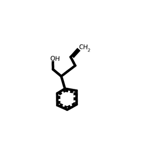 C=CCC(CO)c1ccccc1